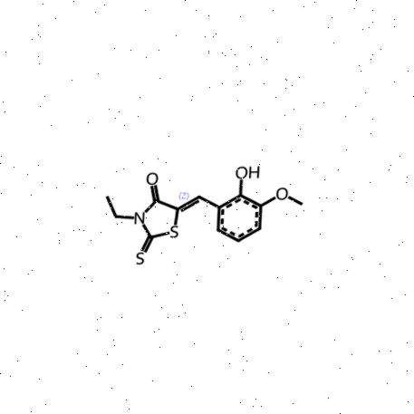 CCN1C(=O)/C(=C/c2cccc(OC)c2O)SC1=S